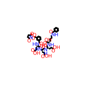 O=C(O)CC[C@@H](NC(=O)c1cccc(C(=O)ON2C(=O)CCC2=O)c1)C(=O)N[C@H](CCC(=O)O)C(=O)N[C@H](CCC(=O)O)C(=O)N[C@H](CCCCNC(=O)c1ccccc1)C(=O)O